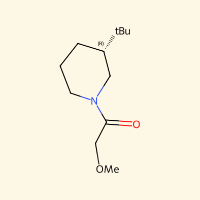 COCC(=O)N1CCC[C@H](C(C)(C)C)C1